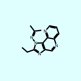 CCc1nc2cnc3cccnc3c2n1N=C(C)C